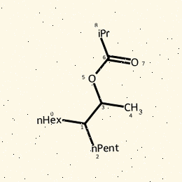 CCCCCCC(CCCCC)C(C)OC(=O)C(C)C